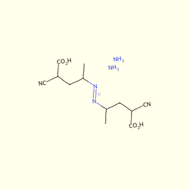 CC(CC(C#N)C(=O)O)/N=N/C(C)CC(C#N)C(=O)O.N.N